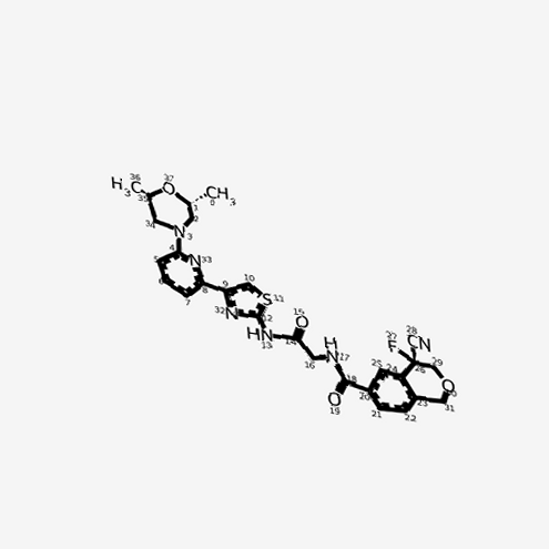 C[C@@H]1CN(c2cccc(-c3csc(NC(=O)CNC(=O)c4ccc5c(c4)[C@@](F)(C#N)COC5)n3)n2)C[C@H](C)O1